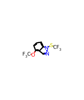 FC(F)(F)Oc1cccc2c1cnn2SC(F)(F)F